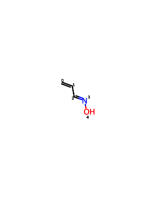 C=CC=NO